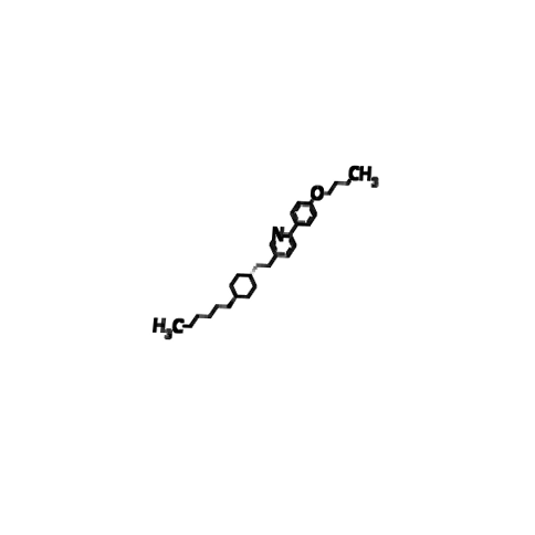 CCCCCC[C@H]1CC[C@H](CCc2ccc(-c3ccc(OCCCC)cc3)nc2)CC1